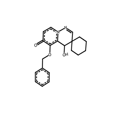 O=c1ccn2c(c1OCc1ccccc1)C(O)C1(C=N2)CCCCC1